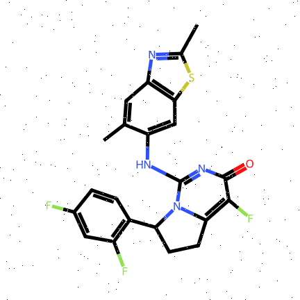 Cc1nc2cc(C)c(Nc3nc(=O)c(F)c4n3C(c3ccc(F)cc3F)CC4)cc2s1